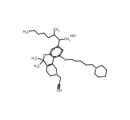 C#CCN1CCC2=C(C1)c1c(OCCCCCN3CCCCC3)cc(C(C)C(C)CCCCC)cc1OC2(C)C.Cl